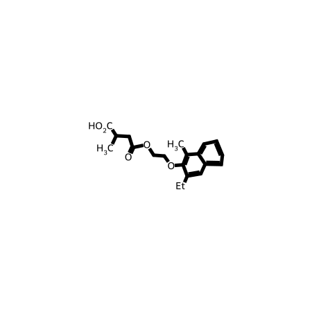 CCc1cc2ccccc2c(C)c1OCCOC(=O)CC(C)C(=O)O